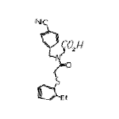 CCc1ccccc1SCC(=O)N(CC(=O)O)Cc1ccc(C#N)cc1